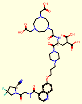 N#C[C@@H]1CC(F)(F)CN1C(=O)CNC(=O)c1ccnc2ccc(OCCCN3CCN(C(=O)[C@H](CC(C(=O)O)C(=O)O)NC(=O)CN4CCN(CC(=O)O)CCN(CC(=O)O)CC4)CC3)cc12